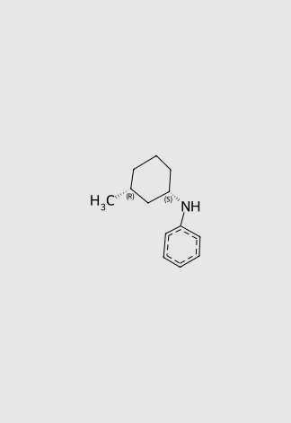 C[C@@H]1CCC[C@H](Nc2ccccc2)C1